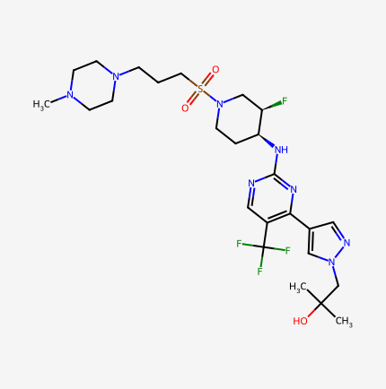 CN1CCN(CCCS(=O)(=O)N2CC[C@H](Nc3ncc(C(F)(F)F)c(-c4cnn(CC(C)(C)O)c4)n3)[C@H](F)C2)CC1